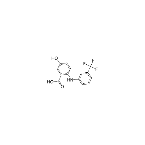 O=C(O)c1cc(O)ccc1Nc1cccc(C(F)(F)F)c1